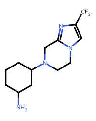 NC1CCCC(N2CCn3cc(C(F)(F)F)nc3C2)C1